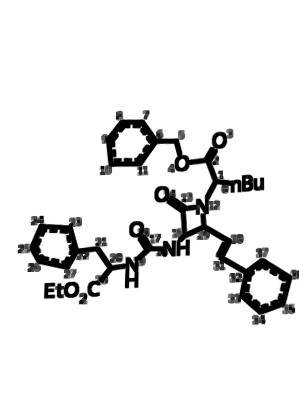 CCCCC(C(=O)OCc1ccccc1)N1C(=O)C(NC(=O)NC(Cc2ccccc2)C(=O)OCC)C1C=Cc1ccccc1